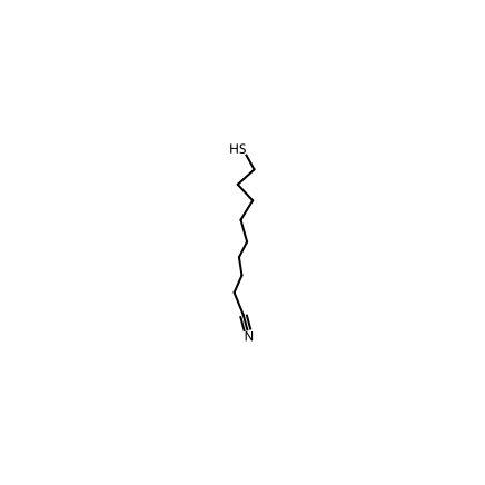 N#CCCCCCCCCS